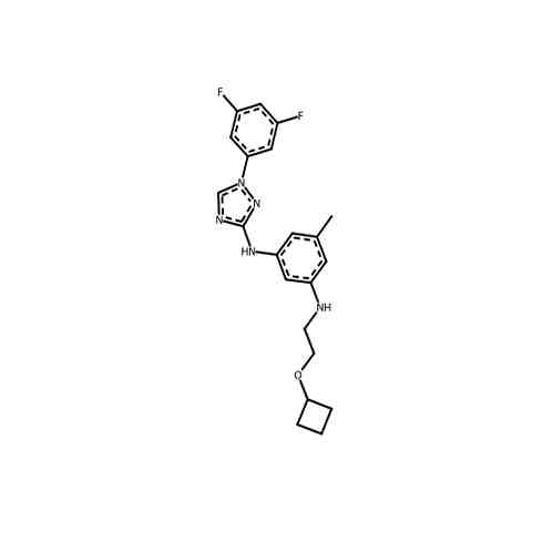 Cc1cc(NCCOC2CCC2)cc(Nc2ncn(-c3cc(F)cc(F)c3)n2)c1